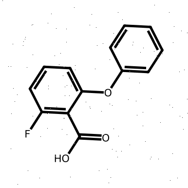 O=C(O)c1c(F)cccc1Oc1ccccc1